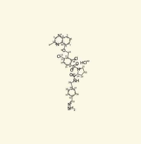 Cc1cnc2cccc(OCc3c(Cl)ccc(S(=O)(=O)N4CCC[C@H]4C(=O)NCc4ccc(C=NN)cc4)c3Cl)c2n1.Cl